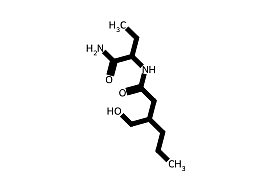 CCCC(CO)CC(=O)NC(CC)C(N)=O